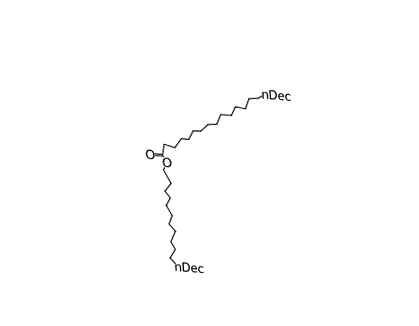 CCCCCCCCCCCCCCCCCCCCCCCCC(=O)OCCCCCCCCCCCCCCCCCCCCC